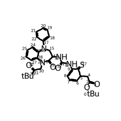 CC(C)(C)OC(=O)CC1C=CC=C(NC(=O)NC2CN(c3ccccc3)c3ccccc3N(CC(=O)C(C)(C)C)C2=O)C1=S